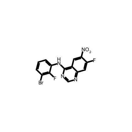 O=[N+]([O-])c1cc2c(Nc3cccc(Br)c3F)ncnc2cc1F